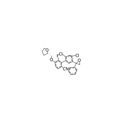 N#Cc1ccc(OC[C@@H]2CCCO2)c(F)c1-c1cc(C2(c3ccccc3)CO2)c(Cl)cc1Cl